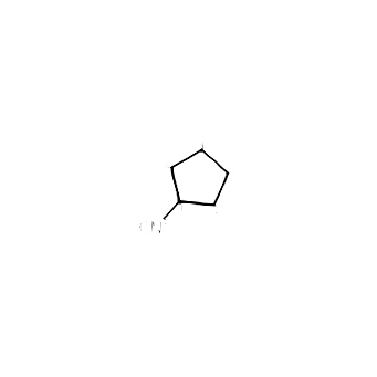 [C-]#[N+]C1CCCC1